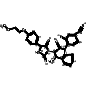 COCCOc1ccc(C2NC(=O)N([C@H](C(=O)Nc3ccc(C#N)cc3F)[C@@H](C)c3ccccc3)C2=O)cc1